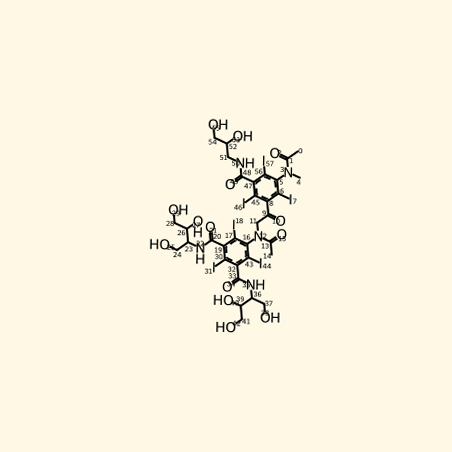 CC(=O)N(C)c1c(I)c(C(=O)CN(C(C)=O)c2c(I)c(C(=O)NC(CO)C(O)CO)c(I)c(C(=O)NC(CO)C(O)CO)c2I)c(I)c(C(=O)NCC(O)CO)c1I